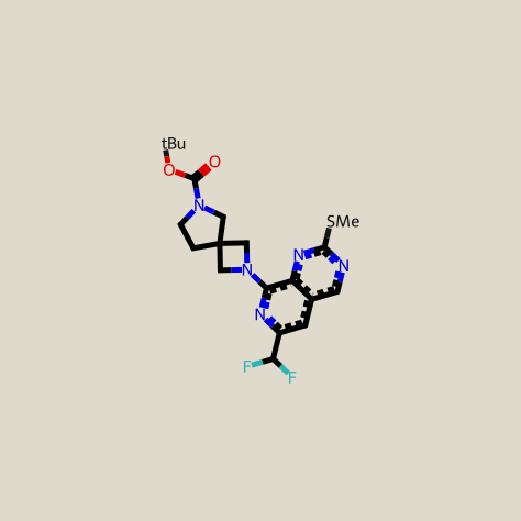 CSc1ncc2cc(C(F)F)nc(N3CC4(CCN(C(=O)OC(C)(C)C)C4)C3)c2n1